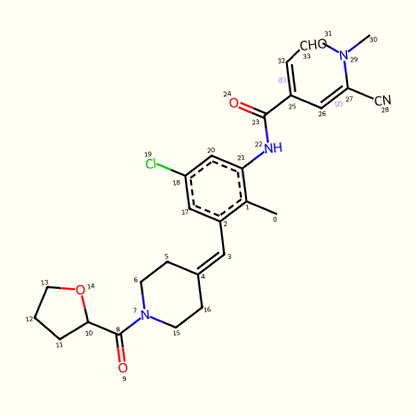 Cc1c(C=C2CCN(C(=O)C3CCCO3)CC2)cc(Cl)cc1NC(=O)C(/C=C(/C#N)N(C)C)=C/C=O